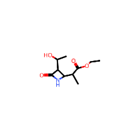 CCOC(=O)C(C)C1NC(=O)C1C(C)O